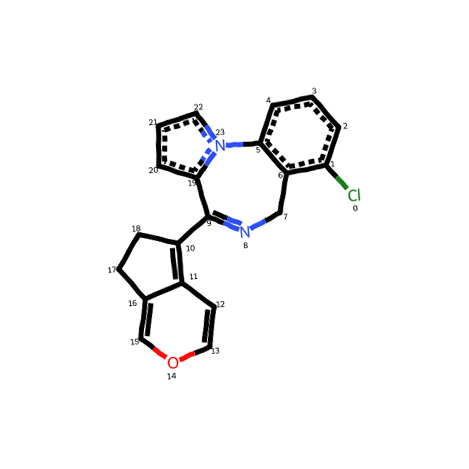 Clc1cccc2c1CN=C(C1=C3C=COC=C3CC1)c1cccn1-2